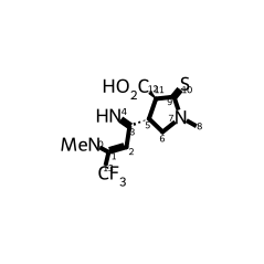 CN/C(=C\C(=N)[C@H]1CN(C)C(=S)[C@@H]1C(=O)O)C(F)(F)F